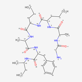 CC(NC(=O)CN)C(=O)NC(CCC(=O)O)C(=O)NC(CCC(=O)O)C(=O)NC(C)C(=O)NC(Cc1ccccc1)C(=O)NC(CC(=O)O)C(=O)O